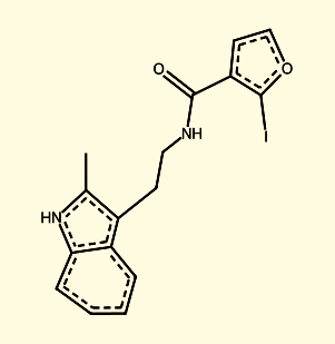 Cc1[nH]c2ccccc2c1CCNC(=O)c1ccoc1I